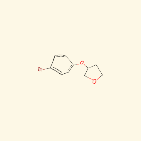 Brc1ccc(OC2CCOC2)cc1